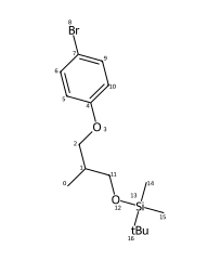 CC(COc1ccc(Br)cc1)CO[Si](C)(C)C(C)(C)C